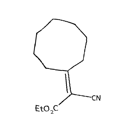 CCOC(=O)C(C#N)=C1CCCCCCC1